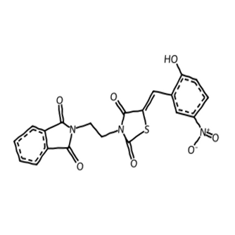 O=C1SC(=Cc2cc([N+](=O)[O-])ccc2O)C(=O)N1CCN1C(=O)c2ccccc2C1=O